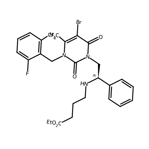 CCOC(=O)CCCN[C@@H](Cn1c(=O)c(Br)c(C)n(Cc2c(F)cccc2C(F)(F)F)c1=O)c1ccccc1